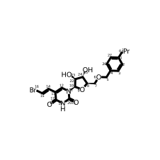 CC(C)c1ccc(COC[C@H]2O[C@@H](n3cc(/C=C/Br)c(=O)[nH]c3=O)[C@@H](O)[C@@H]2O)cc1